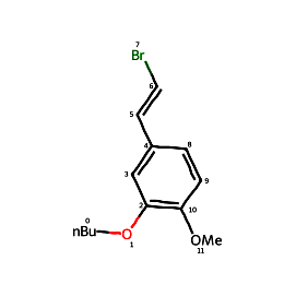 CCCCOc1cc(C=CBr)ccc1OC